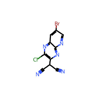 N#CC(C#N)c1nc2ncc(Br)cc2nc1Cl